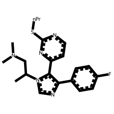 CCCSc1nccc(-c2c(-c3ccc(F)cc3)ncn2C(C)CN(C)C)n1